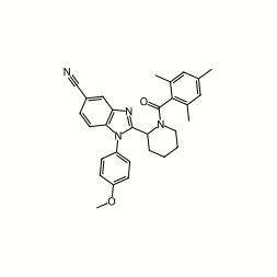 COc1ccc(-n2c(C3CCCCN3C(=O)c3c(C)cc(C)cc3C)nc3cc(C#N)ccc32)cc1